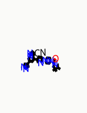 CC1CN(C(=O)N2CCN(c3ccc(-c4cc(-c5cnn(C)c5)cn5ncc(C#N)c45)cn3)CC2)CC1(C)C